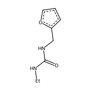 CCNC(=O)NCc1ccco1